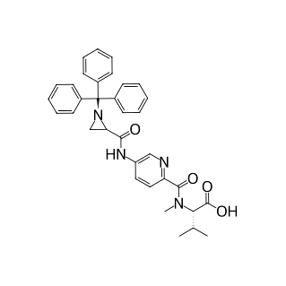 CC(C)[C@@H](C(=O)O)N(C)C(=O)c1ccc(NC(=O)C2C[N@@]2C(c2ccccc2)(c2ccccc2)c2ccccc2)cn1